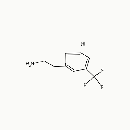 I.NCCc1cccc(C(F)(F)F)c1